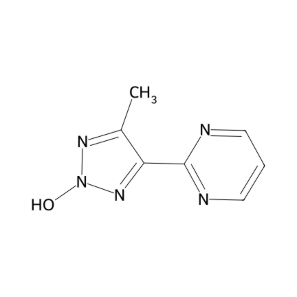 Cc1nn(O)nc1-c1ncccn1